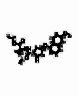 C=C[C@@H]1C[C@]1(NC(=O)[C@@H]1C[C@@H](Oc2nccc3cc(OC)ccc23)CN1)C(=O)OCC